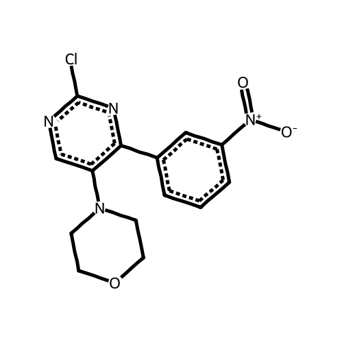 O=[N+]([O-])c1cccc(-c2nc(Cl)ncc2N2CCOCC2)c1